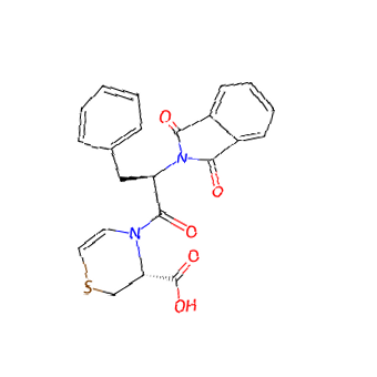 O=C(O)[C@@H]1CSC=CN1C(=O)[C@@H](Cc1ccccc1)N1C(=O)c2ccccc2C1=O